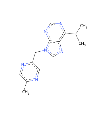 Cc1cnc(Cn2cnc3c(C(C)C)ncnc32)cn1